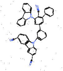 N#Cc1ccc2c(c1)c1cc(C#N)ccc1n2-c1cccc(-c2cc(-c3ccccc3)c(C#N)c(-n3c4ccccc4c4ccccc43)c2)c1